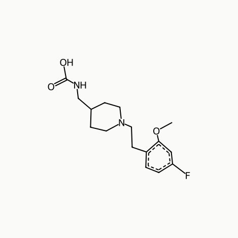 COc1cc(F)ccc1CCN1CCC(CNC(=O)O)CC1